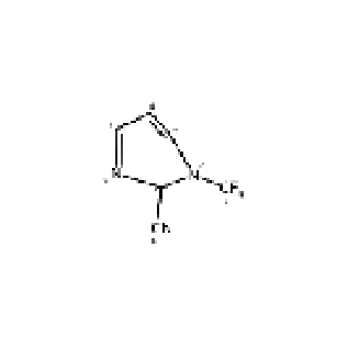 N#CC1N=CC=CN1C(F)(F)F